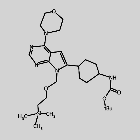 CC(C)(C)OC(=O)NC1CCC(c2cc3c(N4CCOCC4)ncnc3n2COCC[Si](C)(C)C)CC1